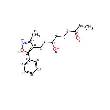 C=CC(=O)CCCC(O)CCc1c(C)noc1-c1ccccc1